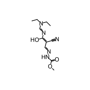 CCN(C=NC(O)=C(C#N)C=NNC(=O)OC)CC